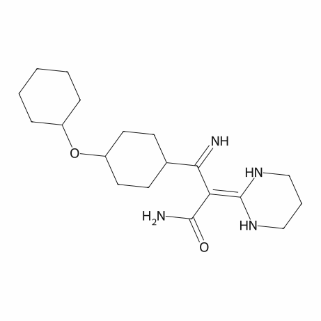 N=C(C(C(N)=O)=C1NCCCN1)C1CCC(OC2CCCCC2)CC1